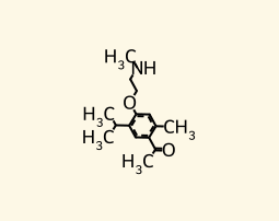 CNCCOc1cc(C)c(C(C)=O)cc1C(C)C